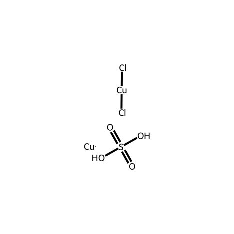 O=S(=O)(O)O.[Cl][Cu][Cl].[Cu]